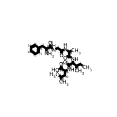 CCC(C)C(NC(=O)C(C)NC(=O)CNC(=O)C(N)Cc1ccccc1)C(=O)NC(CC(C)C)C(=O)O